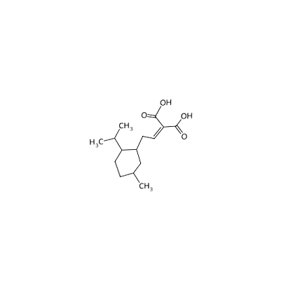 CC1CCC(C(C)C)C(CC=C(C(=O)O)C(=O)O)C1